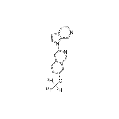 [2H]C([2H])([18F])Oc1ccc2cc(-n3ccc4ccncc43)ncc2c1